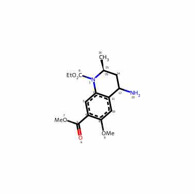 CCOC(=O)N1c2cc(C(=O)OC)c(OC)cc2C(N)C[C@@H]1C